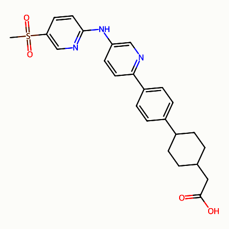 CS(=O)(=O)c1ccc(Nc2ccc(-c3ccc(C4CCC(CC(=O)O)CC4)cc3)nc2)nc1